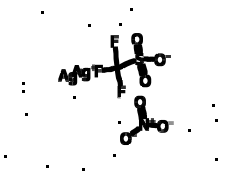 O=S(=O)([O-])C(F)(F)F.O=[N+]([O-])[O-].[Ag+].[Ag+]